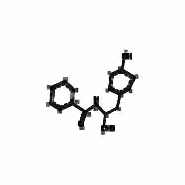 O=CC(Cc1ccc(O)cc1)NC(=O)c1ccccc1